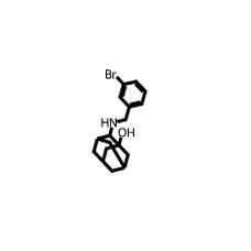 OC12CC3CC(CC(C3)C1NCc1cccc(Br)c1)C2